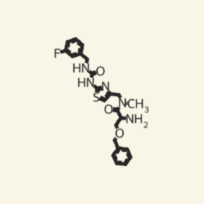 CN(Cc1csc(NC(=O)NCc2cccc(F)c2)n1)C(=O)C(N)COCc1ccccc1